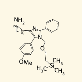 COc1ccc(-c2c([C@H]3C[C@@H]3N)nc(-c3ccccc3)n2COCC[Si](C)(C)C)cc1